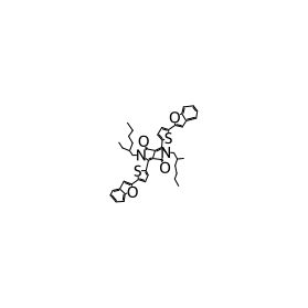 CCCCC(C)CN1C(=O)C2=C(c3ccc(-c4cc5ccccc5o4)s3)N(CC(CC)CCCC)C(=O)C2=C1c1ccc(-c2cc3ccccc3o2)s1